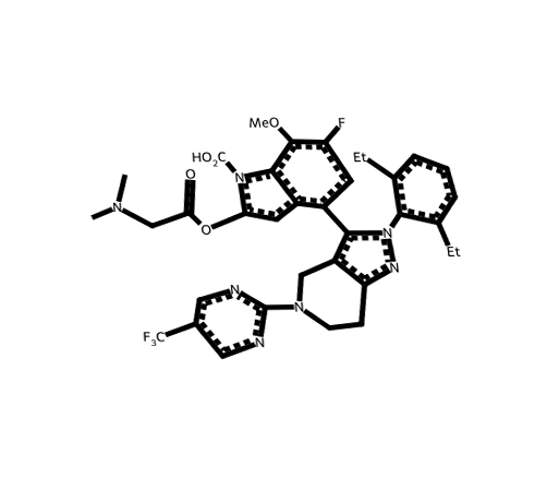 CCc1cccc(CC)c1-n1nc2c(c1-c1cc(F)c(OC)c3c1cc(OC(=O)CN(C)C)n3C(=O)O)CN(c1ncc(C(F)(F)F)cn1)CC2